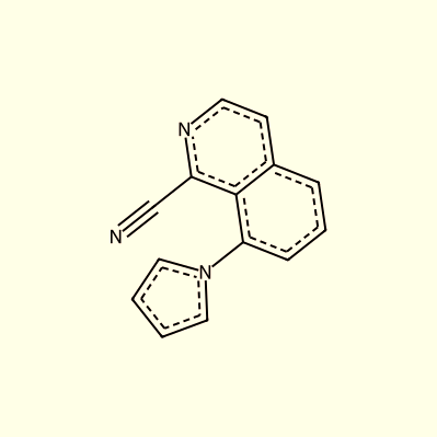 N#Cc1nccc2cccc(-n3cccc3)c12